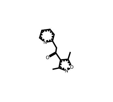 Cc1noc(C)c1C(=O)Cc1ccccn1